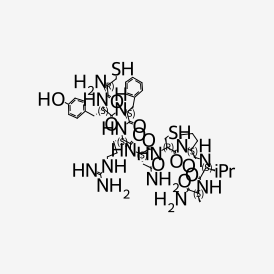 CC(C)[C@H](NC(=O)[C@@H]1CCCN1C(=O)[C@H](CS)NC(=O)[C@H](CC(N)=O)NC(=O)[C@H](CCCNC(=N)N)NC(=O)[C@H](Cc1ccccc1)NC(=O)[C@H](Cc1ccc(O)cc1)NC(=O)[C@@H](N)CS)C(=O)N[C@@H](C)C(N)=O